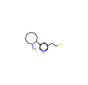 CN1CCCCCC[C@H]1c1cncc(CCS)c1